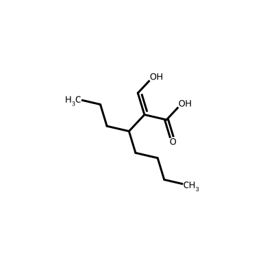 CCCCC(CCC)C(=CO)C(=O)O